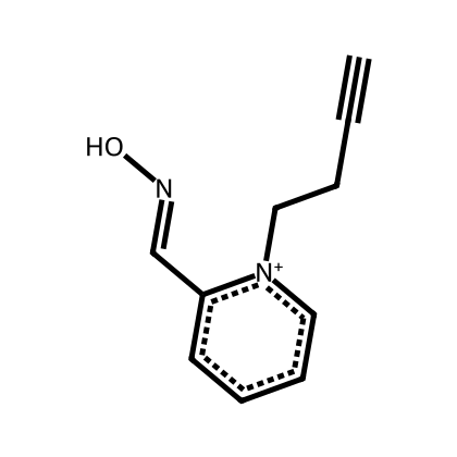 C#CCC[n+]1ccccc1C=NO